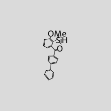 COc1cccc(C(=O)c2ccc(-c3ccccc3)cc2)c1[SiH](C)C